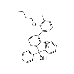 CCCCOc1c(C)cccc1-c1cccc(C(O)(c2ccccc2)c2ccccc2)c1OC